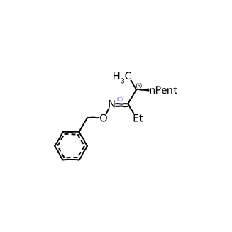 CCCCC[C@H](C)/C(CC)=N/OCc1ccccc1